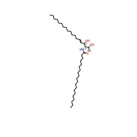 [2H]C(O)[C@H](NC(=O)CCCCCCCCCCCCCCCCCCC)[C@H](O)/C=C/CCCCCCCCCCCCC